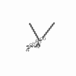 CCCCCCCCCCCCCCCC(=O)OCC(OC(=O)c1ccnc(CNCC(=O)N(CC)CCN(C)C)c1)C(=O)CCCCCCCCCCCCCCC